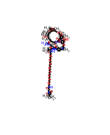 CO[C@H]1/C=C/O[C@@]2(C)Oc3c(C)c(O)c4c(=O)c(c5oc6cc(OCC[N+](C)(C)Cc7ccc(NC(=O)[C@H](CCCNC(N)=O)NC(=O)[C@@H](NC(=O)CCOCCOCCOCCOCCOCCOCCOCCOCCNC(=O)CCN8C(=O)CC(C(C)(C)C)C8=O)C(C)C)cc7)cc(O)c6nc-5c4c3C2=O)NC(=O)/C(C)=C\C=C\[C@H](C)[C@H](O)[C@@H](C)[C@@H](C)[C@@H](C)[C@H](OC(C)=O)[C@@H]1C